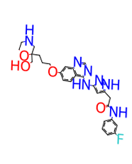 O=C(Cc1cc(Nc2ncnc3cc(OCCCC4(CO)CNCCO4)ccc23)n[nH]1)Nc1cccc(F)c1